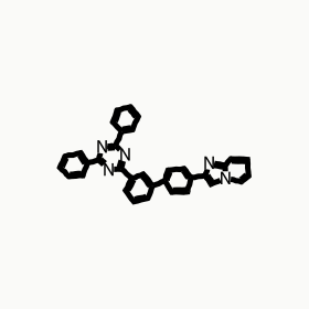 c1ccc(-c2nc(-c3ccccc3)nc(-c3cccc(-c4ccc(-c5cn6ccccc6n5)cc4)c3)n2)cc1